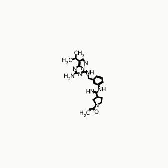 C=CC(=O)N1CCC(C(=N)Nc2cccc(CNc3nc(N)nc4c(C(C)C)cnn34)c2)C1